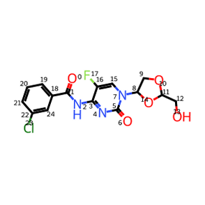 O=C(Nc1nc(=O)n(C2COC(CO)O2)cc1F)c1cccc(Cl)c1